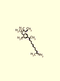 C/C=C\C(C)N(C)CC1N=CC(/C(C)=C/CCC=CCC/C=C(\C)N)=CN1C